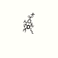 CCCCOc1cc(C(F)(F)F)c(C(=O)N(C(C)C)[C@@H]2CCCN(C(=O)OC(C)(C)C)C2)cc1[N+](=O)[O-]